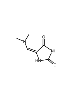 CN(C)C=C1NC(=O)NC1=O